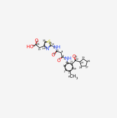 Cc1ccc(NC(=O)CC(=O)Nc2nc(CC(=O)O)cs2)c(C(=O)C2CCCC2)c1